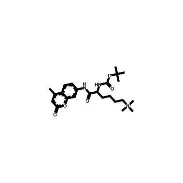 Cc1cc(=O)oc2cc(NC(=O)C(CCCC[N+](C)(C)C)NC(=O)OC(C)(C)C)ccc12